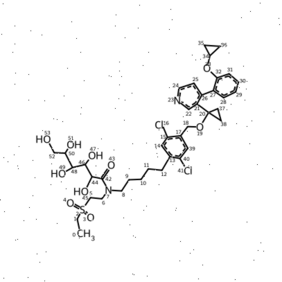 CCS(=O)(=O)CCN(CCCCCc1cc(Cl)c(COC2(c3cnccc3-c3ccccc3OC3CC3)CC2)cc1Cl)C(=O)C(O)C(O)C(O)C(O)CO